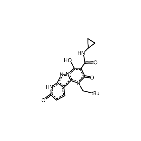 CC(C)(C)Cn1c(=O)c(C(=O)NC2CC2)c(O)n2nc3[nH]c(=O)ccc3c12